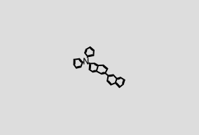 c1ccc(N(c2ccccc2)c2ccc3cc(-c4ccc5ccccc5c4)ccc3c2)cc1